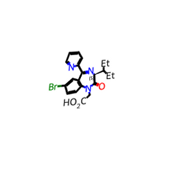 CCC(CC)[C@@H]1N=C(c2ccccn2)c2cc(Br)ccc2N(CC(=O)O)C1=O